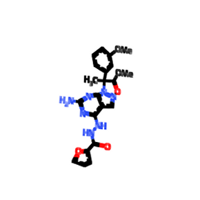 COC(=O)C(C)(c1cccc(OC)c1)n1ncc2c(NNC(=O)c3ccco3)nc(N)nc21